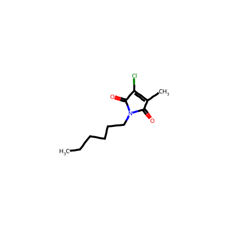 CCCCCCN1C(=O)C(C)=C(Cl)C1=O